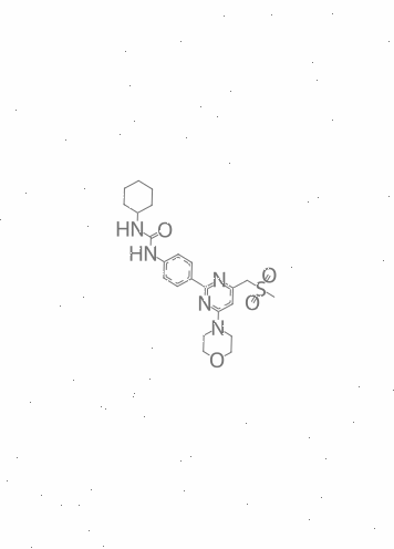 CS(=O)(=O)Cc1cc(N2CCOCC2)nc(-c2ccc(NC(=O)NC3CCCCC3)cc2)n1